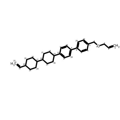 C=CCOCc1ccc(-c2ccc(C3CCC(C4CCC(C=C)CC4)CC3)cc2)cc1